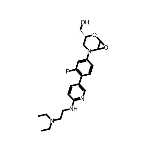 CCN(CC)CCNc1ccc(-c2ccc(N3C[C@H](CO)OC4OC43)cc2F)cn1